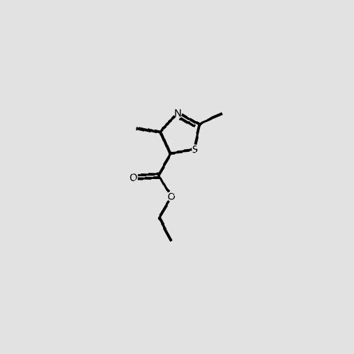 CCOC(=O)C1SC(C)=NC1C